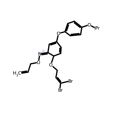 C=CCO/N=C1/C=C(Oc2ccc(OC(C)C)cc2)C=CC1OCC=C(Br)Br